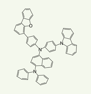 c1ccc(N(c2ccccc2)c2ccc(N(c3ccc(-c4cccc5c4oc4ccccc45)cc3)c3ccc(-n4c5ccccc5c5ccccc54)cc3)c3ccccc23)cc1